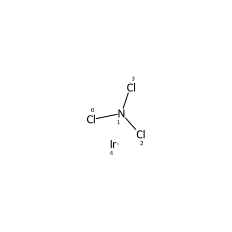 ClN(Cl)Cl.[Ir]